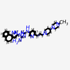 CN1CCN(C2CCN(C/C=C/c3ccc(Nc4nc(N)n(-c5cc6c(nn5)-c5ccccc5CCC6)n4)cn3)CC2)CC1